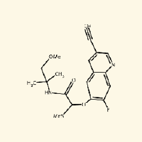 C#Cc1cnc2cc(F)c(OC(SC)C(=O)NC(C)(C)COC)cc2c1